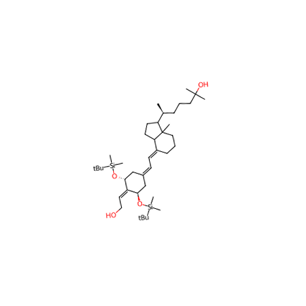 C[C@@H](CCCC(C)(C)O)C1CCC2/C(=C/C=C3C[C@@H](O[Si](C)(C)C(C)(C)C)C(=CCO)[C@H](O[Si](C)(C)C(C)(C)C)C3)CCCC21C